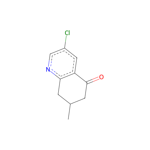 CC1CC(=O)c2cc(Cl)cnc2C1